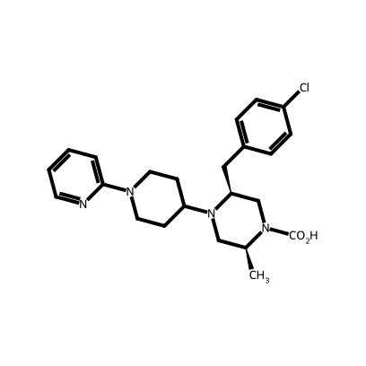 C[C@H]1CN(C2CCN(c3ccccn3)CC2)[C@@H](Cc2ccc(Cl)cc2)CN1C(=O)O